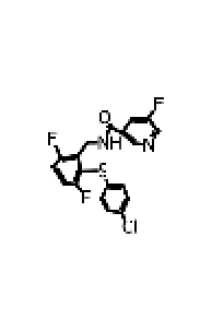 O=C(NCc1c(F)ccc(F)c1Sc1ccc(Cl)cc1)c1cncc(F)c1